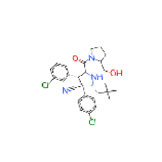 CC(C)(C)C[C@H]1NC(C(=O)N2CCCC2CO)[C@@H](c2cccc(Cl)c2)C1(C#N)c1ccc(Cl)cc1